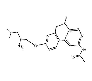 CC(=O)Nc1cc2c(cn1)C(C)Oc1cc(OCC(N)CC(C)C)ccc1-2